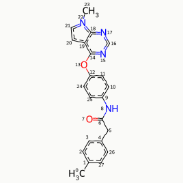 Cc1ccc(CC(=O)Nc2ccc(Oc3ncnc4c3ccn4C)cc2)cc1